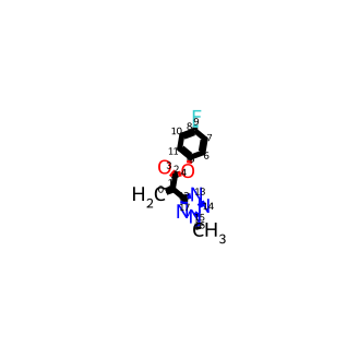 C=C(C(=O)Oc1ccc(F)cc1)c1nnn(C)n1